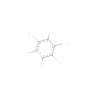 N#Cc1c(N)c(Cl)c(Cl)c(C#N)c1Cl